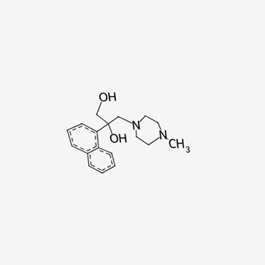 CN1CCN(CC(O)(CO)c2cccc3ccccc23)CC1